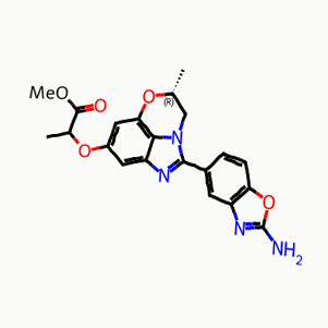 COC(=O)C(C)Oc1cc2c3c(c1)nc(-c1ccc4oc(N)nc4c1)n3C[C@@H](C)O2